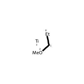 [CH2]CCOC.[Ti]